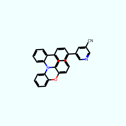 N#Cc1cncc(-c2ccc(-c3ccccc3N3c4ccccc4Oc4ccccc43)cc2)c1